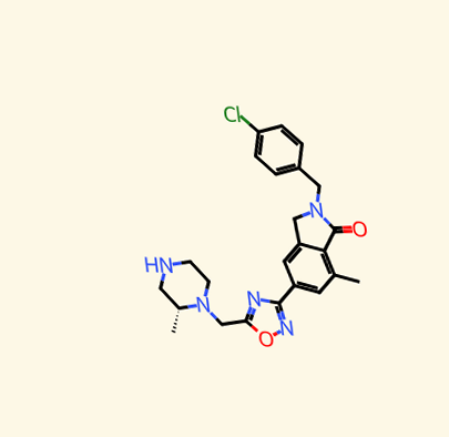 Cc1cc(-c2noc(CN3CCNC[C@H]3C)n2)cc2c1C(=O)N(Cc1ccc(Cl)cc1)C2